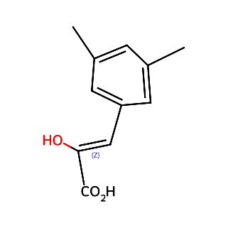 Cc1cc(C)cc(/C=C(\O)C(=O)O)c1